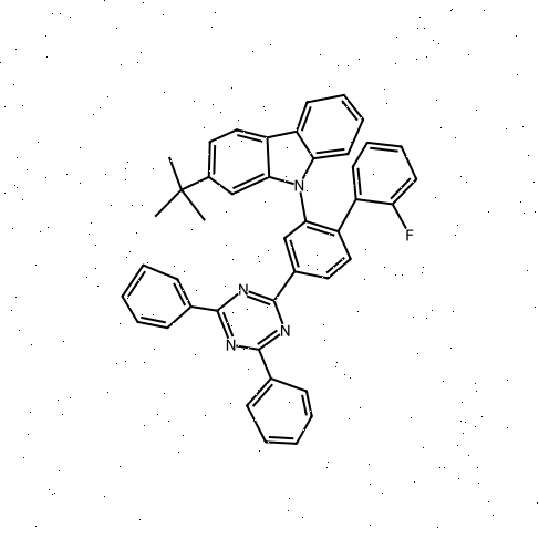 CC(C)(C)c1ccc2c3ccccc3n(-c3cc(-c4nc(-c5ccccc5)nc(-c5ccccc5)n4)ccc3-c3ccccc3F)c2c1